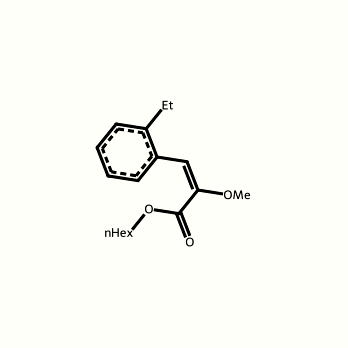 CCCCCCOC(=O)C(=Cc1ccccc1CC)OC